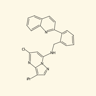 CC(C)c1cnn2c(NCc3ccccc3-c3ccc4ccccc4n3)cc(Cl)nc12